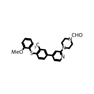 COc1ccccc1Sc1ccc(-c2ccnc(N3CCN(C=O)CC3)c2)cc1C(F)(F)F